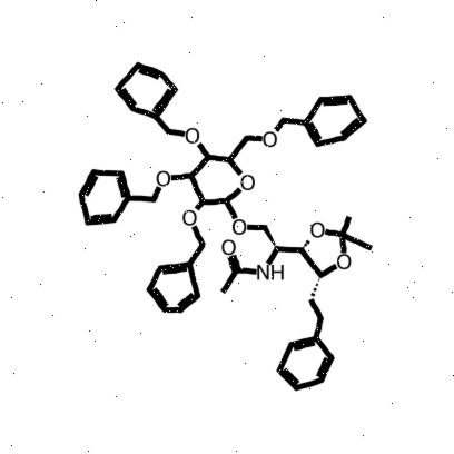 CC(=O)N[C@@H](COC1OC(COCc2ccccc2)C(OCc2ccccc2)C(OCc2ccccc2)C1OCc1ccccc1)[C@@H]1OC(C)(C)O[C@@H]1CCc1ccccc1